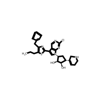 CCCc1sc(-c2cn([C@@H]3C[C@H](C4=CCCNC4)[C@@H](O)[C@H]3O)c3nc(Cl)ncc23)nc1Cc1ccccc1